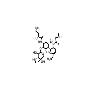 CNCC(=O)N[C@@H]1CC=C(CN)O[C@@H]1C1[C@@H](N)C[C@@H](NC(=O)[C@@H](O)CCN)[C@H](O[C@H]2OC[C@](C)(O)[C@H](NC)[C@H]2O)[C@H]1O